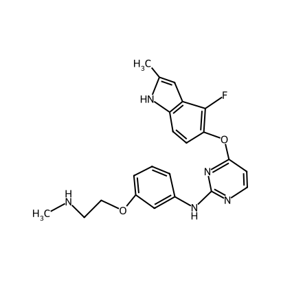 CNCCOc1cccc(Nc2nccc(Oc3ccc4[nH]c(C)cc4c3F)n2)c1